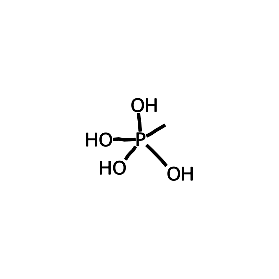 CP(O)(O)(O)O